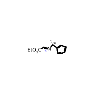 CCOC(=O)/C=N/[C@H](C)c1ccccc1